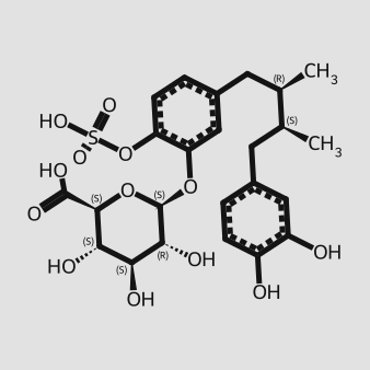 C[C@H](Cc1ccc(OS(=O)(=O)O)c(O[C@@H]2O[C@H](C(=O)O)[C@@H](O)[C@H](O)[C@H]2O)c1)[C@@H](C)Cc1ccc(O)c(O)c1